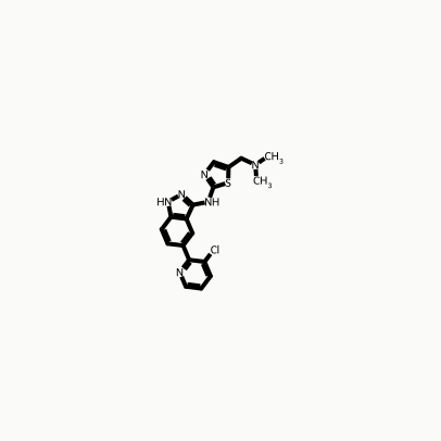 CN(C)Cc1cnc(Nc2n[nH]c3ccc(-c4ncccc4Cl)cc23)s1